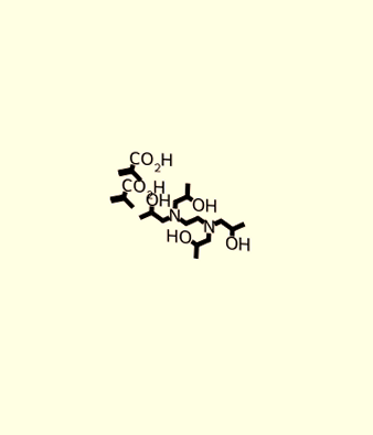 C=C(C)C(=O)O.C=C(C)C(=O)O.CC(O)CN(CCN(CC(C)O)CC(C)O)CC(C)O